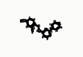 N#Cc1ccc(COc2ccnc(-c3ccncc3)n2)c(F)c1